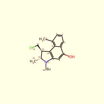 Cc1cccc2c(O)cc3c(c12)[C@H](CCl)[C@@H](C)N3C(C)(C)C